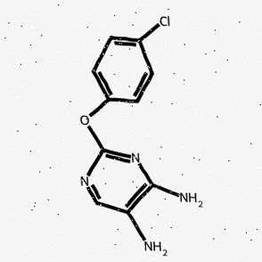 Nc1cnc(Oc2ccc(Cl)cc2)nc1N